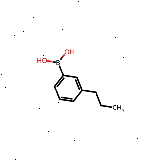 CCCc1cccc(B(O)O)c1